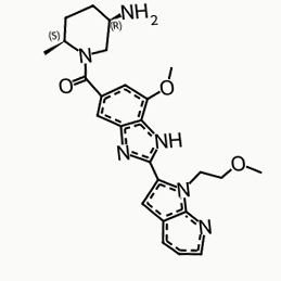 COCCn1c(-c2nc3cc(C(=O)N4C[C@H](N)CC[C@@H]4C)cc(OC)c3[nH]2)cc2cccnc21